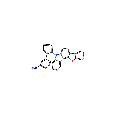 N#Cc1cc(-c2ccccc2-n2c3ccccc3c3c4oc5ccccc5c4ccc32)ccn1